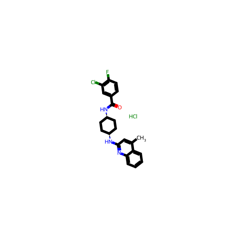 Cc1cc(N[C@H]2CC[C@@H](NC(=O)c3ccc(F)c(Cl)c3)CC2)nc2ccccc12.Cl